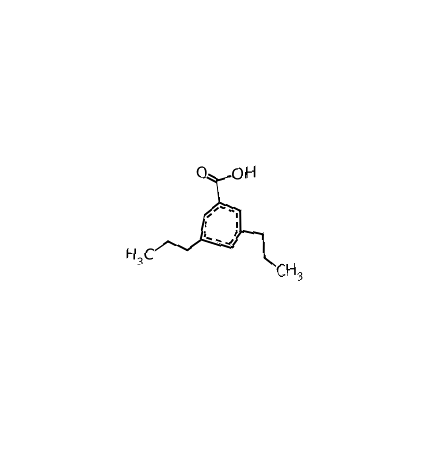 CCCc1cc(CCC)cc(C(=O)O)c1